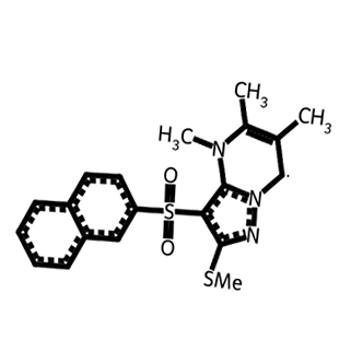 CSc1nn2c(c1S(=O)(=O)c1ccc3ccccc3c1)N(C)C(C)=C(C)[CH]2